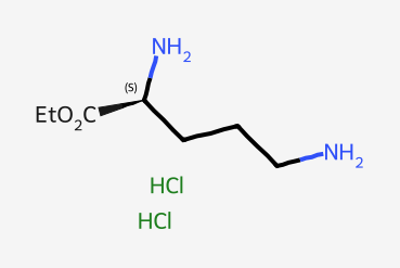 CCOC(=O)[C@@H](N)CCCN.Cl.Cl